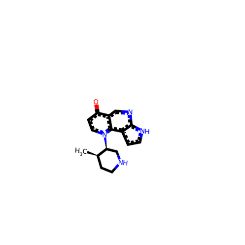 C[C@@H]1CCNC[C@@H]1n1ccc(=O)c2cnc3[nH]ccc3c21